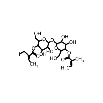 C/C=C(/C)C(=O)OC1C(CO)OC(OC2OC(CO)C(OC(=O)/C(=C\C)CI)C(O)C2O)C(O)C1O